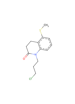 CSc1cccc2c1CCC(=O)N2CCCCl